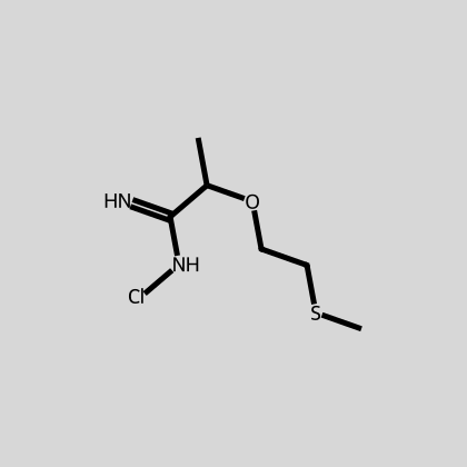 CSCCOC(C)C(=N)NCl